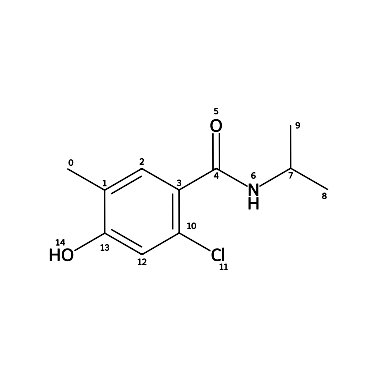 Cc1cc(C(=O)NC(C)C)c(Cl)cc1O